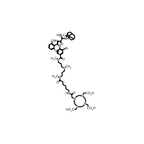 COc1cccc(O)c1-c1cc(C(=O)NC2(C(=O)O)C3CC4CC(C3)CC2C4)nn1-c1c#cc(C(=O)N(C)CCCN(C)CCCN(C)C(=O)CCCCCNC(=O)CN2CCN(CC(=O)O)CCN(CC(=O)O)CCN(CC(=O)O)CC2)cc1C(C)C